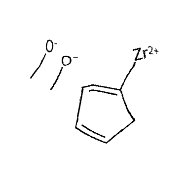 C[O-].C[O-].[Zr+2][C]1=CC=CC1